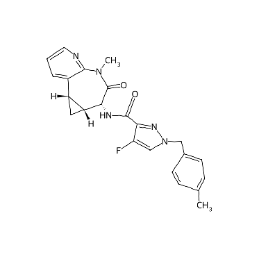 Cc1ccc(Cn2cc(F)c(C(=O)N[C@H]3C(=O)N(C)c4ncccc4[C@H]4C[C@H]43)n2)cc1